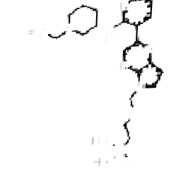 C[Si](C)(C)CCOCn1ccc2nc(-c3cccnc3N[C@H]3CCCN(CC(F)(F)F)C3)cnc21